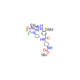 COc1cc(C(=O)N[C@H]2CC[C@@H](NC(=O)OC(C)(C)C)CC2)ccc1Nc1ncc2c(n1)N(C1CCCC1)CC(F)(F)C(=O)N2C